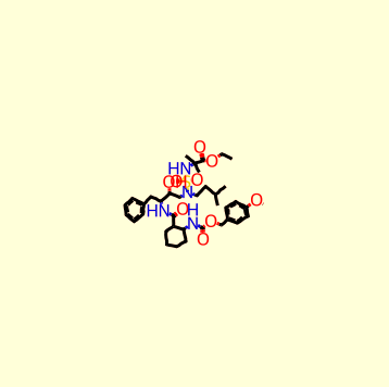 CCOC(=O)C(C)(C)NS(=O)(=O)N(CCC(C)C)CC(O)C(Cc1ccccc1)NC(=O)C1CCCCC1NC(=O)OCc1ccc(OC)cc1